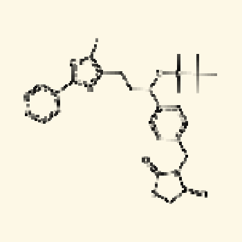 Cc1oc(-c2ccccc2)nc1CCC(O[Si](C)(C)C(C)(C)C)c1ccc(CN2C(=O)CSC2=O)cc1